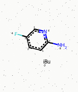 CC[C@H](C)c1cc(F)cnc1N